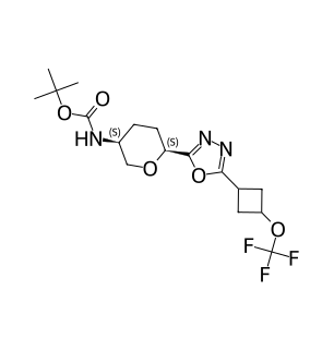 CC(C)(C)OC(=O)N[C@H]1CC[C@@H](c2nnc(C3CC(OC(F)(F)F)C3)o2)OC1